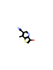 Cc1c(C#N)cnc2c(Br)csc12